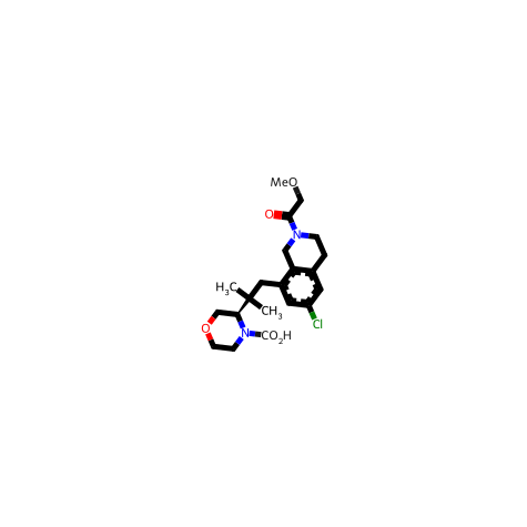 COCC(=O)N1CCc2cc(Cl)cc(CC(C)(C)[C@@H]3COCCN3C(=O)O)c2C1